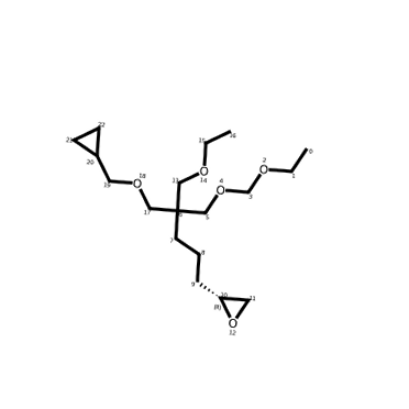 CCOCOCC(CCC[C@@H]1CO1)(COCC)COCC1CC1